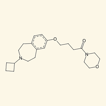 O=C(CCCOc1ccc2c(c1)CCN(C1CCC1)CC2)N1CCOCC1